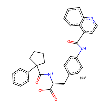 O=C(Nc1ccc(C[C@H](NC(=O)C2(c3ccccc3)CCCC2)C(=O)[O-])cc1)c1ccnc2ccccc12.[Na+]